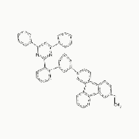 C=Cc1ccc2c3ccc(-c4cccc(-c5ccccc5-c5nc(-c6ccccc6)cc(-c6ccccc6)n5)c4)cc3c3ccccc3c2c1